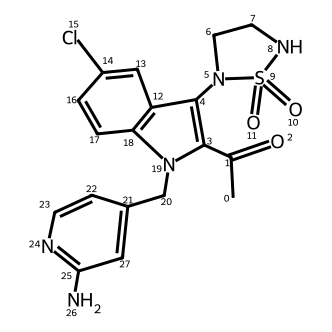 CC(=O)c1c(N2CCNS2(=O)=O)c2cc(Cl)ccc2n1Cc1ccnc(N)c1